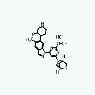 COc1nc(N2C[C@H]3C[C@@H]2CO3)cc(-n2ncc3cc(C)c(C4CCNCC4F)cc32)n1.Cl